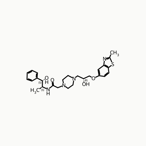 Cc1nc2cc(OC[C@H](O)CN3CCN(CC(=O)N[C@@H](C)[C@@H](O)c4ccccc4)CC3)ccc2s1